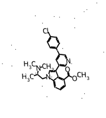 COC(=O)c1cccc2c1c(-c1cncc(-c3ccc(Cl)cc3)c1)cn2CC(C)N(C)C